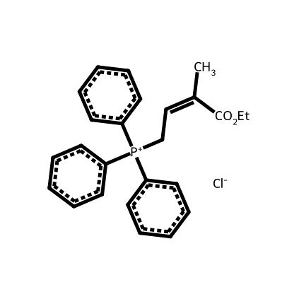 CCOC(=O)/C(C)=C\C[P+](c1ccccc1)(c1ccccc1)c1ccccc1.[Cl-]